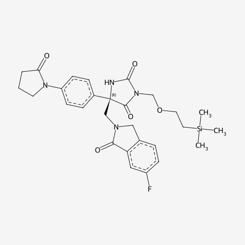 C[Si](C)(C)CCOCN1C(=O)N[C@@](CN2Cc3ccc(F)cc3C2=O)(c2ccc(N3CCCC3=O)cc2)C1=O